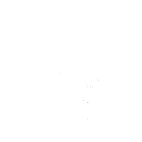 N[C@H](CO)Cn1nnc(-c2ccc(Oc3ccc(Cl)cc3)nc2)n1